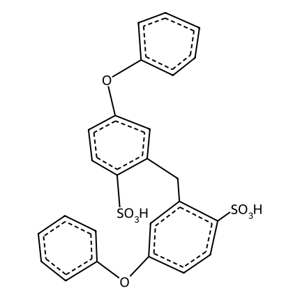 O=S(=O)(O)c1ccc(Oc2ccccc2)cc1Cc1cc(Oc2ccccc2)ccc1S(=O)(=O)O